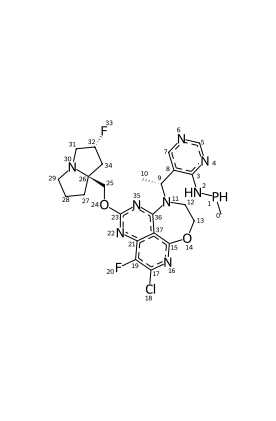 CPNc1ncncc1[C@@H](C)N1CCOc2nc(Cl)c(F)c3nc(OC[C@@]45CCCN4C[C@H](F)C5)nc1c23